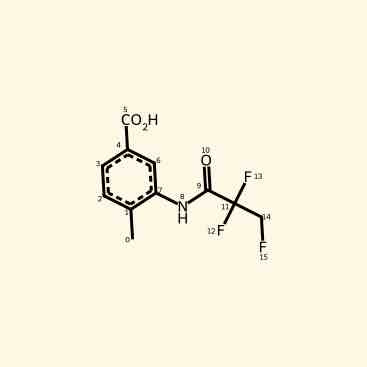 Cc1ccc(C(=O)O)cc1NC(=O)C(F)(F)CF